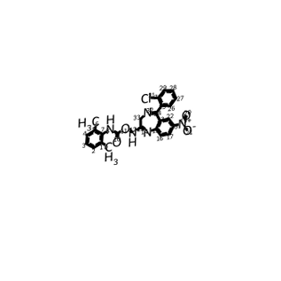 Cc1cccc(C)c1NC(=O)ONC1=Nc2ccc([N+](=O)[O-])cc2C(c2ccccc2Cl)=NC1